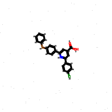 O=C(O)c1cc(-c2ccc(Cl)cc2)nc(-c2ccc(Sc3ccccc3)cc2)c1